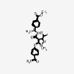 COC(=O)c1ccc([C@H](C)NC(=O)c2c(C(F)F)nn(C)c2Oc2ccc(C(C)=O)cc2)cc1